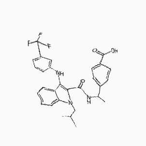 CC(C)Cn1c(C(=O)NC(C)c2ccc(C(=O)O)cc2)c(Nc2cccc(C(F)(F)F)c2)c2ccccc21